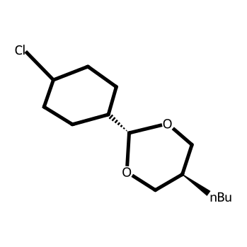 CCCC[C@H]1CO[C@H](C2CCC(Cl)CC2)OC1